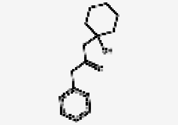 O=C(Cc1ccccc1)CC1(O)CCCCC1